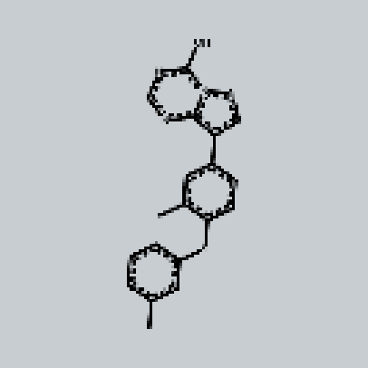 Cc1cccc(Sc2ccc(-c3cnn4c(O)ncnc34)cc2C)c1